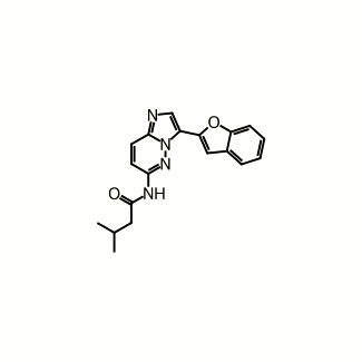 CC(C)CC(=O)Nc1ccc2ncc(-c3cc4ccccc4o3)n2n1